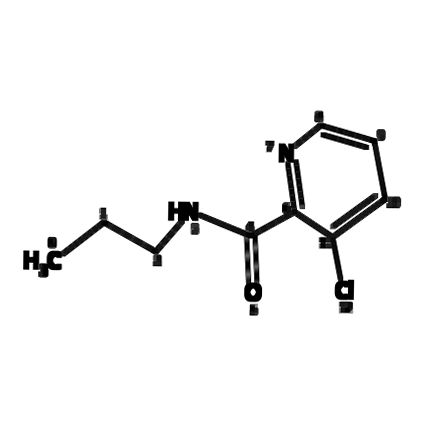 CCCNC(=O)c1ncccc1Cl